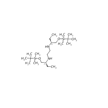 CC[C@@H](CO[Si](C)(C)C(C)(C)C)NCCN[C@@H](CC)CO[Si](C)(C)C(C)(C)C